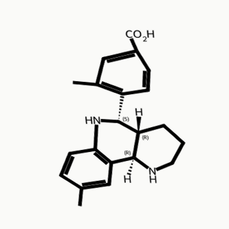 Cc1ccc2c(c1)[C@@H]1NCCC[C@H]1[C@@H](c1ccc(C(=O)O)cc1C)N2